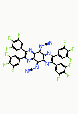 N#CN=C1c2nc(-c3cc(F)c(F)c(F)c3)c(-c3cc(F)c(F)c(F)c3)nc2C(=NC#N)c2nc(-c3cc(F)c(F)c(F)c3)c(-c3cc(F)c(F)c(F)c3)nc21